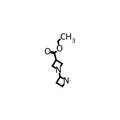 CCOC(=O)C1CN(C2CC[N]2)C1